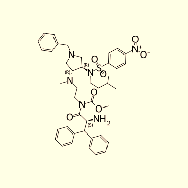 COC(=O)N(CCN(C)[C@@H]1CN(Cc2ccccc2)C[C@H]1N(CCC(C)C)S(=O)(=O)c1ccc([N+](=O)[O-])cc1)C(=O)[C@@H](N)C(c1ccccc1)c1ccccc1